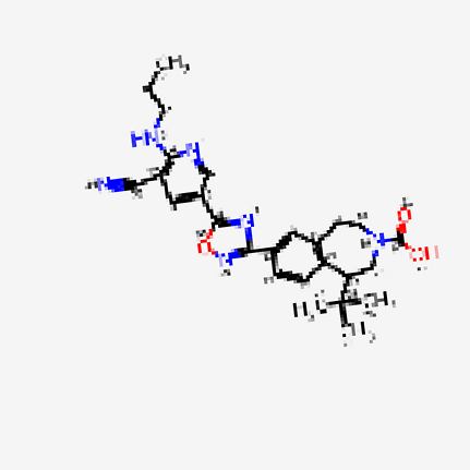 CCCNc1ncc(-c2nc(-c3ccc4c(c3)CCN(C(=O)O)CC4C(C)(C)C)no2)cc1C#N